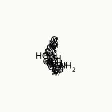 COc1ccc(SCC2=C(C(=O)O)N3C(=O)[C@@](NC(=O)C(NC(N)=O)c4cccs4)(OC)C3SC2)[n+]([O-])n1